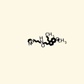 CCCCc1c(C=CC(=O)NCCCCN2C=CC=NC2)ccc2cc(OC)ccc12